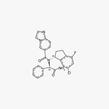 NC(=O)[C@@H](c1ccccc1)N(C(=O)c1ccc2nccn2c1)[C@@H]1CCc2c(F)cc(Cl)cc21